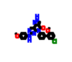 COc1ccc(Nc2ncc3c4n[nH]cc4c(=O)n(-c4cccc(-c5cc(Cl)ccc5OC)c4)c3n2)cc1